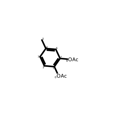 CC(=O)Oc1ccc(C)cc1OC(C)=O